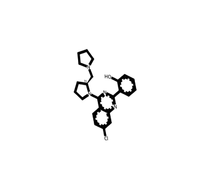 Oc1ccccc1-c1nc(N2CCC[C@H]2CN2CCCC2)c2ccc(Cl)cc2n1